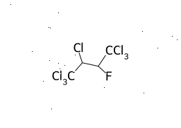 FC(C(Cl)C(Cl)(Cl)Cl)C(Cl)(Cl)Cl